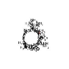 CC(C)CC1NC(=O)[C@H](CC(N)=O)NC(=O)[C@H](C)CCCCCCn2nncc2CCC[C@@H](C(=O)N[C@@H](CCC(N)=O)C(=O)N[C@@H](CC(N)=O)C(N)=O)NN[C@@H](CC(C)C)C(=O)C(=O)[C@H](CC(C)C)NC(=O)C(CCCNC(=N)N)NC(=O)[C@H](Cc2c[nH]c3ccccc23)NC1=O